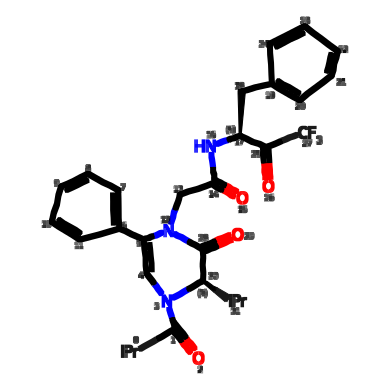 CC(C)C(=O)N1C=C(c2ccccc2)N(CC(=O)N[C@@H](Cc2ccccc2)C(=O)C(F)(F)F)C(=O)[C@H]1C(C)C